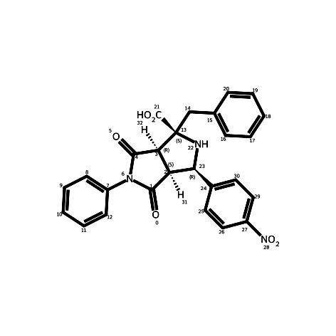 O=C1[C@H]2[C@@H](C(=O)N1c1ccccc1)[C@@](Cc1ccccc1)(C(=O)O)N[C@H]2c1ccc([N+](=O)[O-])cc1